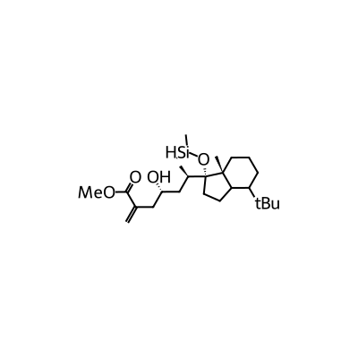 C=C(C[C@H](O)C[C@@H](C)[C@]1(O[SiH](C)C)CCC2C(C(C)(C)C)CCC[C@]21C)C(=O)OC